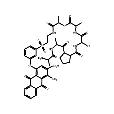 CC(N)C(=O)NC(C)C(=O)C1CCCC1C(=O)NC(C(=O)NC(C)C(=O)NC(C)C(=O)NCCS(=O)(=O)c1cccc(Nc2cc(S(=O)(=O)O)c(N)c3c2C(=O)c2ccccc2C3=O)c1)C(C)C